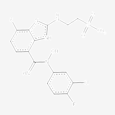 CS(=O)(=O)CCNc1nc2c(F)ccc(C(=N)N(O)c3ccc(F)c(Cl)c3)c2[nH]1